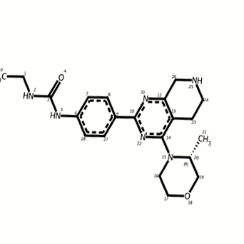 CCNC(=O)Nc1ccc(-c2nc3c(c(N4CCOC[C@H]4C)n2)CCNC3)cc1